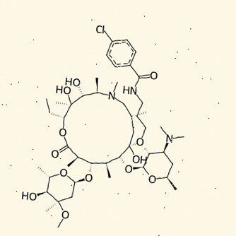 CC[C@H]1OC(=O)[C@H](C)[C@@H](O[C@H]2C[C@@](C)(OC)[C@@H](O)[C@H](C)O2)[C@H](C)[C@@H](O[C@@H]2O[C@H](C)C[C@H](N(C)C)[C@H]2OCCCNC(=O)c2ccc(Cl)cc2)[C@](C)(O)C[C@@H](C)CN(C)[C@H](C)[C@@H](O)[C@]1(C)O